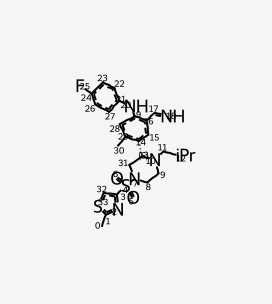 Cc1nc(S(=O)(=O)N2CCN(CC(C)C)[C@@H](c3cc(C=N)c(Nc4ccc(F)cc4)cc3C)C2)cs1